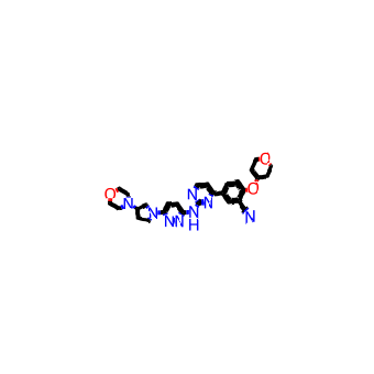 N#Cc1cc(-c2ccnc(Nc3ccc(N4CCC(N5CCOCC5)C4)nn3)n2)ccc1OC1CCOCC1